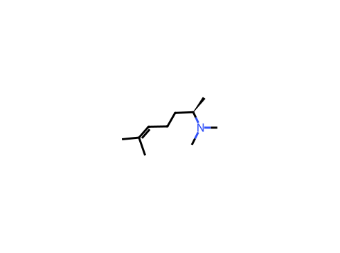 CC(C)=CCC[C@@H](C)N(C)C